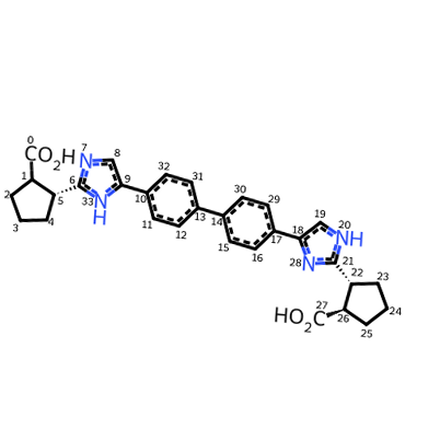 O=C(O)C1CCC[C@H]1c1ncc(-c2ccc(-c3ccc(-c4c[nH]c([C@@H]5CCC[C@H]5C(=O)O)n4)cc3)cc2)[nH]1